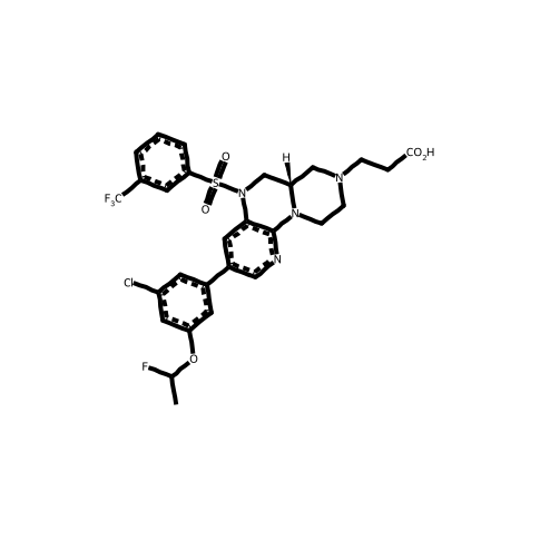 CC(F)Oc1cc(Cl)cc(-c2cnc3c(c2)N(S(=O)(=O)c2cccc(C(F)(F)F)c2)C[C@@H]2CN(CCC(=O)O)CCN32)c1